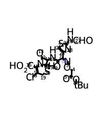 CC(C)(C)OC(=O)CO/N=C(\C(=O)NC1C(=O)N2C(C(=O)O)=C(Cl)CS[C@H]12)c1csc(NC=O)n1